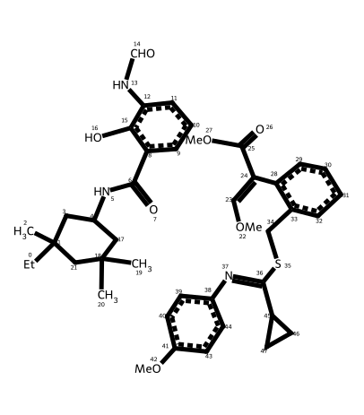 CCC1(C)CC(NC(=O)c2cccc(NC=O)c2O)CC(C)(C)C1.CO/C=C(/C(=O)OC)c1ccccc1CSC(=Nc1ccc(OC)cc1)C1CC1